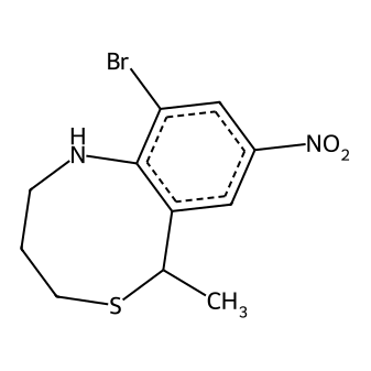 CC1SCCCNc2c(Br)cc([N+](=O)[O-])cc21